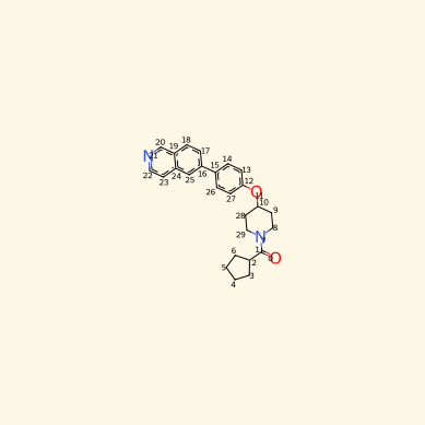 O=C(C1CCCC1)N1CCC(Oc2ccc(-c3ccc4cnccc4c3)cc2)CC1